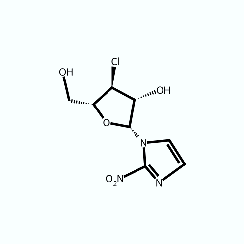 O=[N+]([O-])c1nccn1[C@@H]1O[C@H](CO)[C@@H](Cl)[C@@H]1O